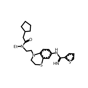 CCN(CCN1CCSc2cc(NC(=N)c3cccs3)ccc21)C(=O)CC1CCCC1